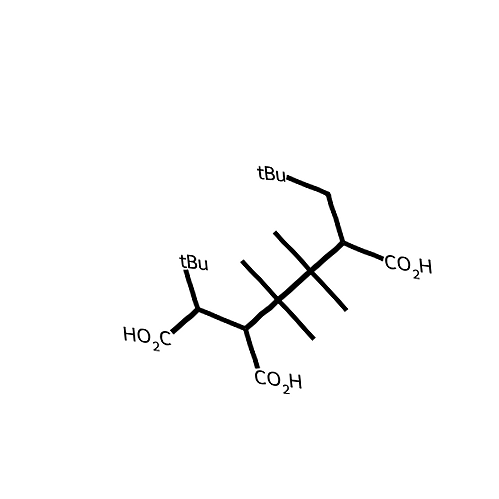 CC(C)(C)CC(C(=O)O)C(C)(C)C(C)(C)C(C(=O)O)C(C(=O)O)C(C)(C)C